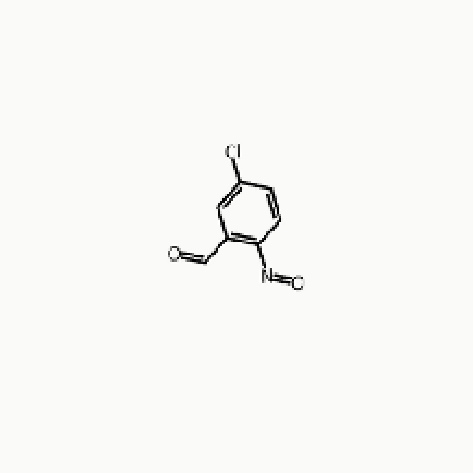 O=Cc1cc(Cl)ccc1N=O